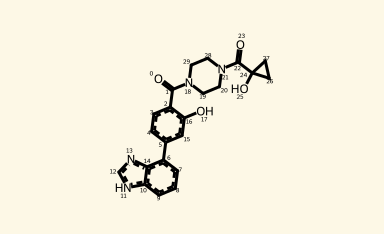 O=C(c1ccc(-c2cccc3[nH]cnc23)cc1O)N1CCN(C(=O)C2(O)CC2)CC1